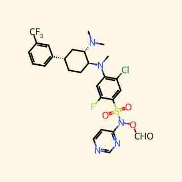 CN(C)[C@H]1C[C@@H](c2cccc(C(F)(F)F)c2)CC[C@@H]1N(C)c1cc(F)c(S(=O)(=O)N(OC=O)c2ccncn2)cc1Cl